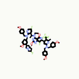 COc1ccc(CN(Cc2ccc(OC)cc2)c2cc(-c3nc4c5c(nc(OC[C@@]67CCCN6C[C@H](F)C7)nc5c3F)N(C(C)c3cc(F)cnc3N(Cc3ccc(OC)cc3)Cc3ccc(OC)cc3)CCO4)c(C(F)(F)F)c(C)n2)cc1